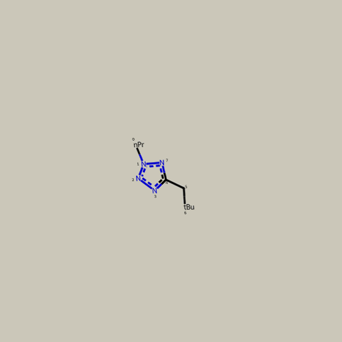 CCCn1nnc(CC(C)(C)C)n1